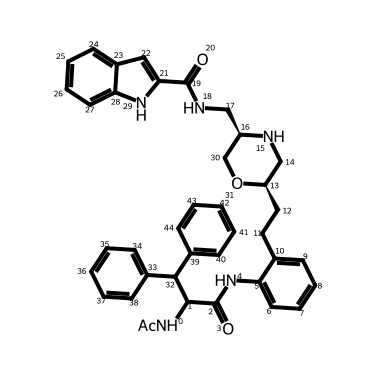 CC(=O)NC(C(=O)Nc1ccccc1CC[C@@H]1CN[C@H](CNC(=O)c2cc3ccccc3[nH]2)CO1)C(c1ccccc1)c1ccccc1